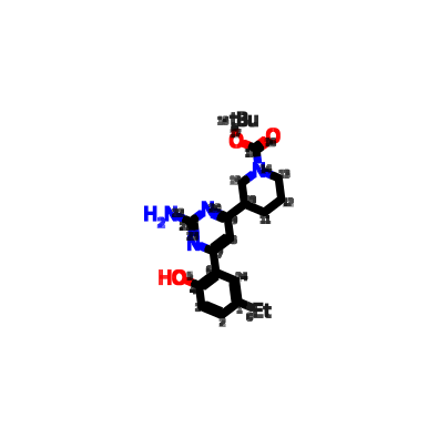 CCc1ccc(O)c(-c2cc(C3CCCN(C(=O)OC(C)(C)C)C3)nc(N)n2)c1